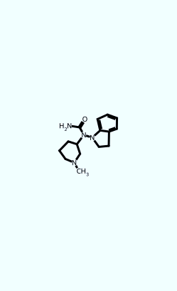 CN1CCCC(N(C(N)=O)N2CCc3ccccc32)C1